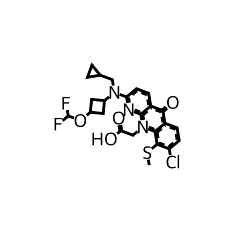 CSc1c(Cl)ccc2c(=O)c3ccc(N(CC4CC4)C4CC(OC(F)F)C4)nc3n(CC(=O)O)c12